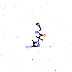 Cc1c(N)cnn1C(C)(C)C(=O)NCC1CC1